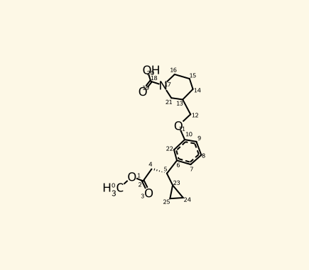 COC(=O)C[C@H](c1cccc(OCC2CCCN(C(=O)O)C2)c1)C1CC1